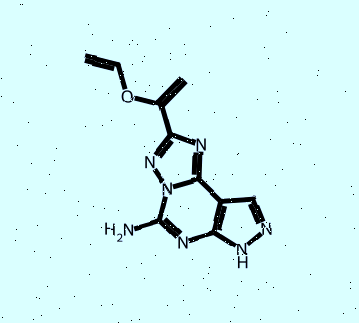 C=COC(=C)c1nc2c3cn[nH]c3nc(N)n2n1